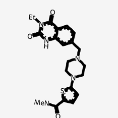 CCn1c(=O)[nH]c2cc(CN3CCN(c4ccc(C(=O)NC)s4)CC3)ccc2c1=O